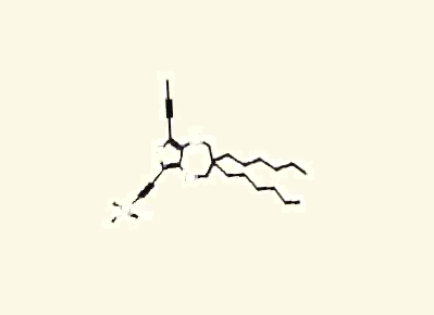 CC#Cc1sc(C#C[Si](C)(C)C)c2c1OCC(CCCCCC)(CCCCCC)CO2